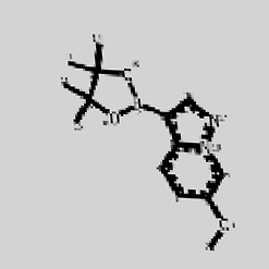 COc1ccc2c(B3OC(C)(C)C(C)(C)O3)cnn2c1